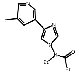 CCC(=O)N(CC)n1cnc(-c2cncc(F)c2)c1